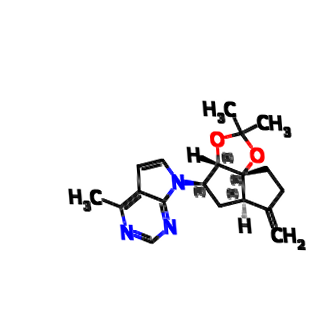 C=C1CC[C@]23OC(C)(C)O[C@H]2[C@H](n2ccc4c(C)ncnc42)C[C@H]13